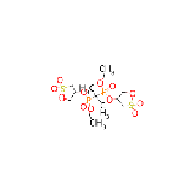 CCOP(=O)(OC1COS(=O)(=O)C1)C(C)(C)P(=O)(OCC)OC1COS(=O)(=O)C1